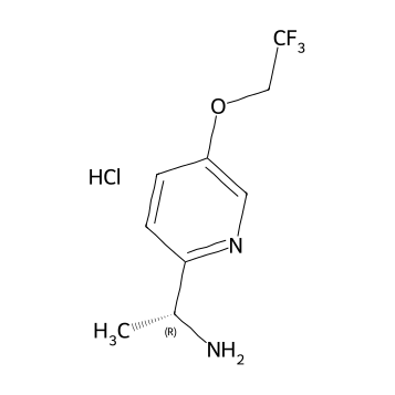 C[C@@H](N)c1ccc(OCC(F)(F)F)cn1.Cl